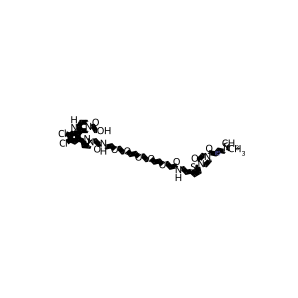 CN(C)C/C=C/C(=O)N1CCN(c2ccc(CCNC(=O)CCOCCOCCOCCOCCOCCNC(=O)Cn3ccc(-c4cc(Cl)c(Cl)c5[nH]c6c(c45)CN(C(=O)CO)CC6)n3)s2)C(=O)C1